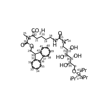 CC(C)[Si](OC[C@@H](O)[C@@H](O)[C@H](O)[C@@H](O)CN(C)C(=O)NCCCC[C@@H](C(=O)O)N(C)C(=O)OCC1c2ccccc2-c2ccccc21)(C(C)C)C(C)C